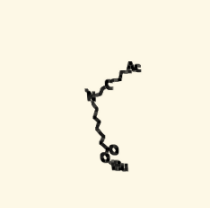 CCC(C)OC(=O)CCCCCCCN(C)CCCCCCCC(C)=O